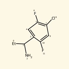 CCC(N)c1cc(F)c(Cl)cc1F